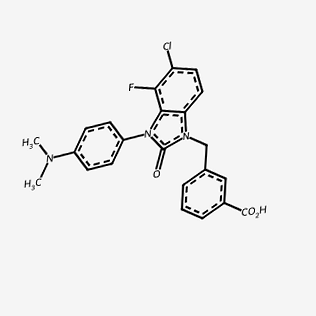 CN(C)c1ccc(-n2c(=O)n(Cc3cccc(C(=O)O)c3)c3ccc(Cl)c(F)c32)cc1